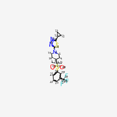 CC(C)(C1CCN(c2nnc(C3CC3)s2)CC1)S(=O)(=O)c1cccc(C(F)(F)F)c1